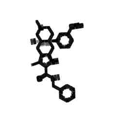 COc1cccc([C@]23CCN(C)C[C@@H]2Cc2c([nH]c(C(=O)NCc4ccccc4)c2C)C3)c1